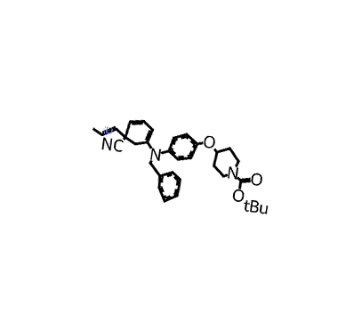 C/C=C/C1(C#N)C=CC=C(N(Cc2ccccc2)c2ccc(OC3CCN(C(=O)OC(C)(C)C)CC3)cc2)C1